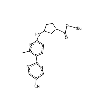 Cc1nc(NC2CCN(C(=O)OC(C)(C)C)C2)ccc1-c1ncc(C#N)cn1